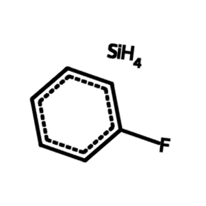 Fc1ccccc1.[SiH4]